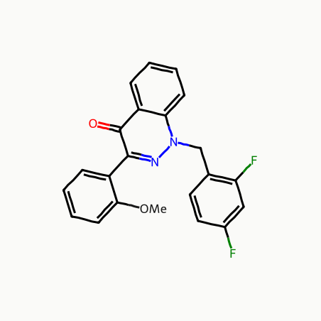 COc1ccccc1-c1nn(Cc2ccc(F)cc2F)c2ccccc2c1=O